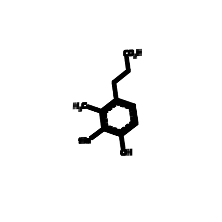 Cc1c(CCC(=O)O)ccc(O)c1C(C)(C)C